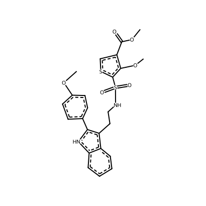 COC(=O)c1csc(S(=O)(=O)NCCc2c(-c3ccc(OC)cc3)[nH]c3ccccc23)c1OC